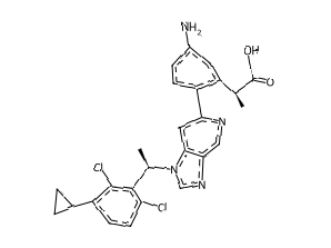 C[C@H](C(=O)O)c1cc(N)ccc1-c1cc2c(cn1)ncn2[C@H](C)c1c(Cl)ccc(C2CC2)c1Cl